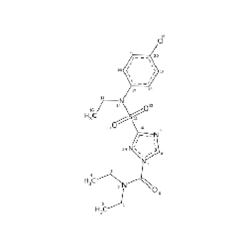 CCN(CC)C(=O)n1cnc(S(=O)(=O)N(CC)c2ccc(Cl)cc2)n1